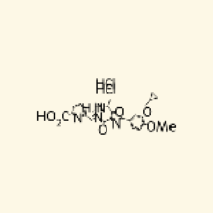 COc1ccc(-c2nc(C(=O)NCc3cccc(C(=O)O)n3)c([C@H](C)N)o2)cc1OCC1CC1.Cl.Cl